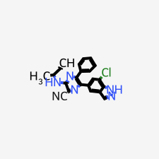 C#CC(C)Nc1nc(-c2ccccc2)c(-c2cc(Cl)c3[nH]ncc3c2)nc1C#N